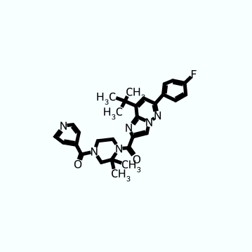 CC(C)(C)c1cc(-c2ccc(F)cc2)nn2cc(C(=O)N3CCN(C(=O)c4ccncc4)CC3(C)C)nc12